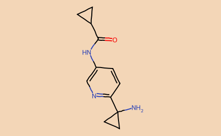 NC1(c2ccc(NC(=O)C3CC3)cn2)CC1